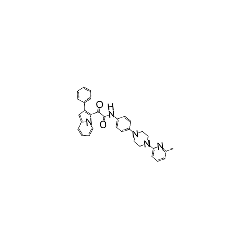 Cc1cccc(N2CCN(c3ccc(NC(=O)C(=O)c4c(-c5ccccc5)cc5ccccn45)cc3)CC2)n1